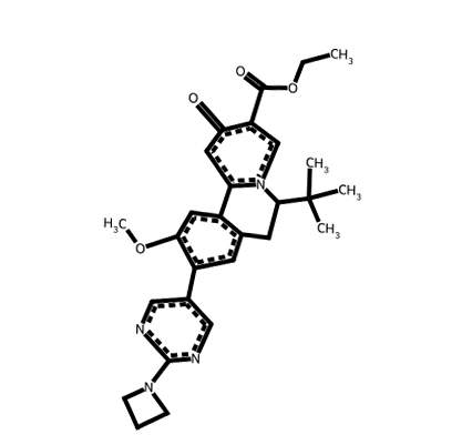 CCOC(=O)c1cn2c(cc1=O)-c1cc(OC)c(-c3cnc(N4CCC4)nc3)cc1CC2C(C)(C)C